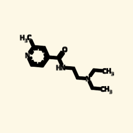 CCN(CC)CCNC(=O)c1ccnc(C)c1